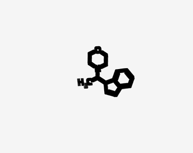 CC(C1C=Cc2ccccc21)N1CCOCC1